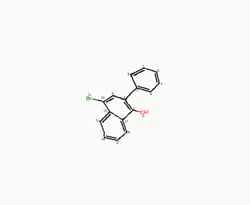 Oc1c(-c2ccccc2)cc(Br)c2ccccc12